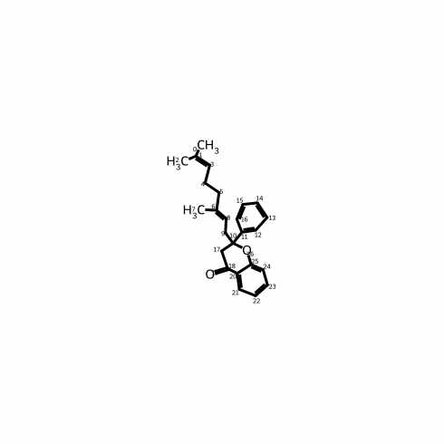 CC(C)=CCC/C(C)=C/CC1(c2ccccc2)CC(=O)c2ccccc2O1